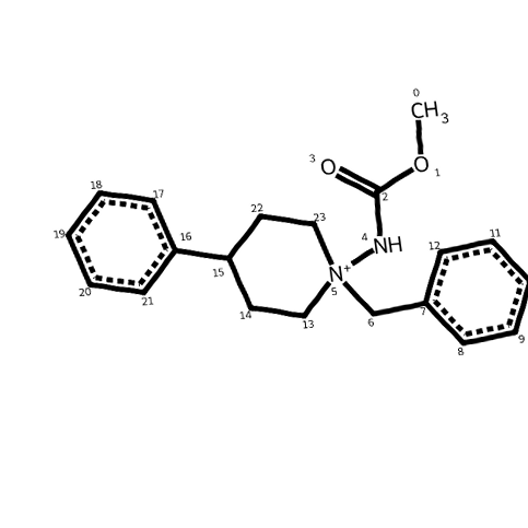 COC(=O)N[N+]1(Cc2ccccc2)CCC(c2ccccc2)CC1